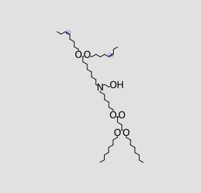 CC/C=C\CCCCOC(CCCCCCCN(CCO)CCCCCCOC(=O)CCC(OCCCCCCCC)OCCCCCCCC)OCCCC/C=C\CC